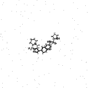 Cn1ncc(-c2ccc3nnc(NC(=O)[C@H]4CCCN4)cc3c2)c1CN1CCCCC1